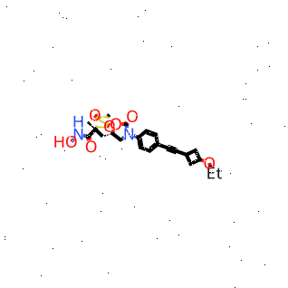 CCOC1CC(C#Cc2ccc(N3C[C@H](C[C@](C)(C(=O)NO)S(C)(=O)=O)OC3=O)cc2)C1